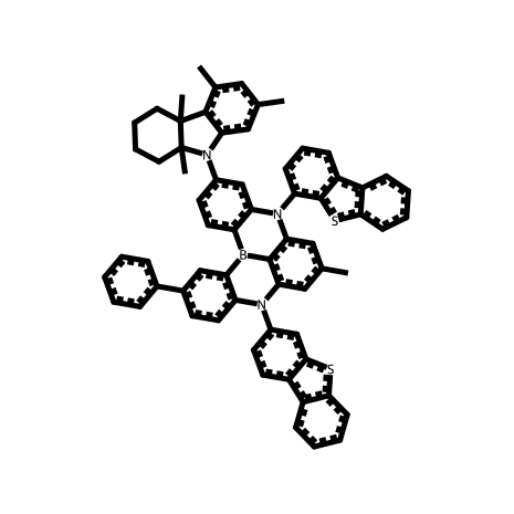 Cc1cc2c3c(c1)N(c1cccc4c1sc1ccccc14)c1cc(N4c5cc(C)cc(C)c5C5(C)CCCCC45C)ccc1B3c1cc(-c3ccccc3)ccc1N2c1ccc2c(c1)sc1ccccc12